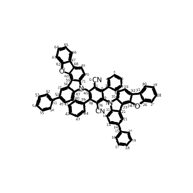 N#Cc1c(-c2ccccc2)c(-n2c3ccc(-c4ccccc4)cc3c3c4oc5ccccc5c4ccc32)c(C#N)c(-c2ccccc2)c1-n1c2ccc(-c3ccccc3)cc2c2c3oc4ccccc4c3ccc21